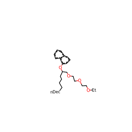 CCCCCCCCCCCCCCC(COCCOCCOCC)Oc1cccc2ccccc12